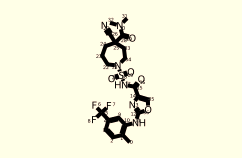 Cc1ccc(C(F)(F)F)cc1Nc1nc(C(=O)NS(=O)(=O)N2CCCC(C#N)(C(=O)N(C)C)CC2)co1